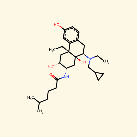 CCN(CC1CC1)[C@@H]1Cc2ccc(O)cc2[C@@]2(CC)C[C@@H](O)[C@@H](NC(=O)CCCC(C)C)C[C@@]12O